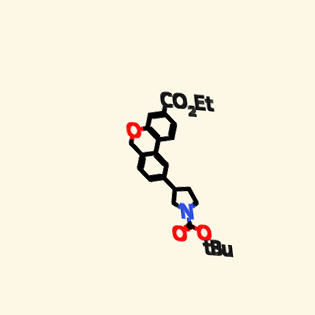 CCOC(=O)c1ccc2c(c1)OCc1ccc(C3CCN(C(=O)OC(C)(C)C)C3)cc1-2